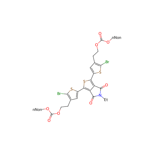 CCCCCCCCCOC(=O)OCCc1cc(-c2sc(-c3cc(CCOC(=O)OCCCCCCCCC)c(Br)s3)c3c2C(=O)N(CC)C3=O)sc1Br